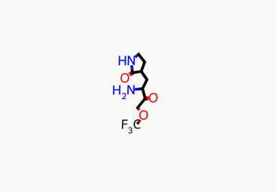 NC(CC1CCNC1=O)C(=O)COC(F)(F)F